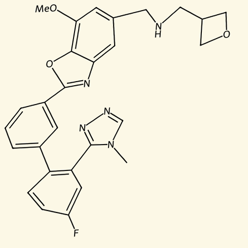 COc1cc(CNCC2COC2)cc2nc(-c3cccc(-c4ccc(F)cc4-c4nncn4C)c3)oc12